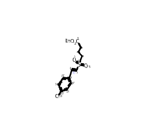 CCOC(=O)CCCS(=O)(=O)/C=C/c1ccc(Cl)cc1